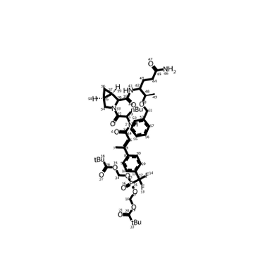 CCCCC(NC(=O)/C=C(\C)c1ccc(C(F)(F)P(=O)(OCOC(=O)C(C)(C)C)OCOC(=O)C(C)(C)C)cc1)C(=O)N1C[C@H]2C[C@H]2C1C(=O)NC(CCC(N)=O)[C@@H](C)OCc1ccccc1